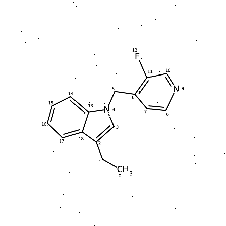 CCc1cn(Cc2ccncc2F)c2cc[c]cc12